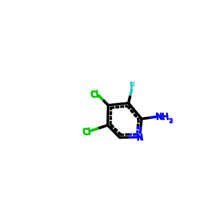 Nc1ncc(Cl)c(Cl)c1F